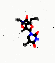 CC[C@]12O[C@@H](n3cc(C)c(=O)[nH]c3=O)[C@@H](ON(C)C1=O)C2C